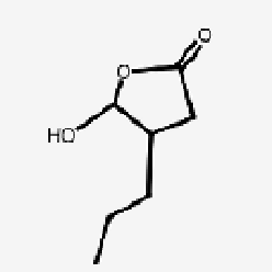 CCCC1CC(=O)OC1O